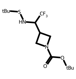 CC(C)(C)OC(=O)N1CC(C(NSC(C)(C)C)C(F)(F)F)C1